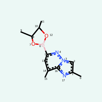 Cc1cn2nc(B3OC(C)C(C)O3)cc(C)c2n1